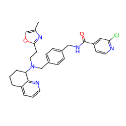 Cc1coc(CCN(Cc2ccc(CNC(=O)c3ccnc(Cl)c3)cc2)C2CCCc3cccnc32)n1